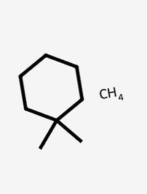 C.CC1(C)CCCCC1